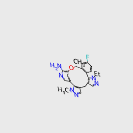 CCn1ncc2c1-c1ccc(F)cc1[C@@H](C)Oc1cc(cnc1N)-c1c(cnn1C)C2